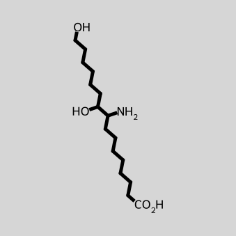 NC(CCCCCCCC(=O)O)C(O)CCCCCCO